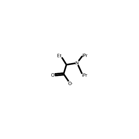 CCC(C([O])=O)N(C(C)C)C(C)C